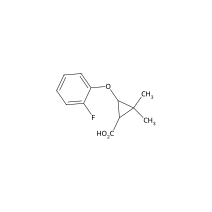 CC1(C)C(Oc2ccccc2F)C1C(=O)O